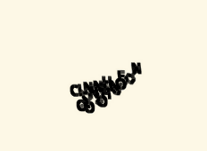 COC(=O)c1cc(Cl)c2nc(CN3C[C@@H]4C(c5cccc(OCc6ccc(C#N)cc6F)n5)[C@@H]4C3)n(CC3CCO3)c2c1